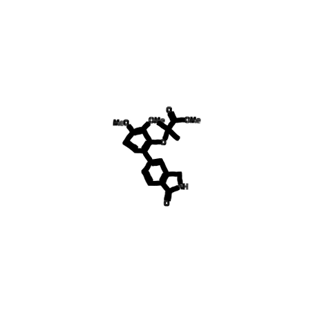 COC(=O)C(C)(C)Oc1c(-c2ccc3c(c2)CNC3=O)ccc(OC)c1OC